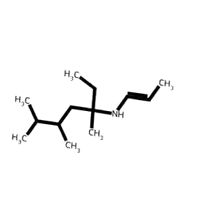 CC=CNC(C)(CC)CC(C)C(C)C